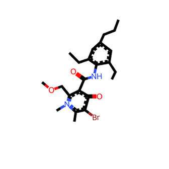 CCCc1cc(CC)c(NC(=O)c2c(COC)n(C)c(C)c(Br)c2=O)c(CC)c1